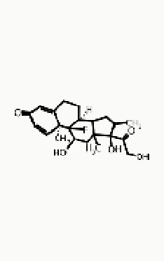 CC1CC2[C@@H]3CCC4=CC(=O)C=C[C@]4(C)C3(F)C(O)CC2(C)[C@@]1(O)C(=O)CO